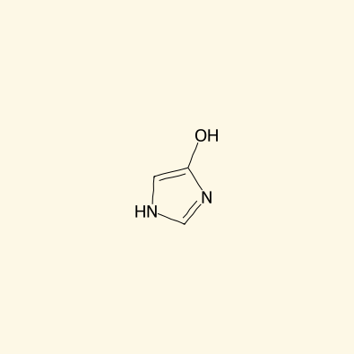 Oc1c[nH]cn1